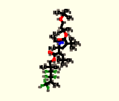 CCNC(C)(CC(C(=O)OC(C)(C)CCOC(C)(C)C)C(C)(C)C)C(CC(C)(C)C)C(=O)OCC(C)(C)C(F)(F)C(F)(F)C(C)C(F)(F)F